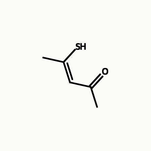 CC(=O)/C=C(/C)S